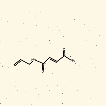 C=CCNC(=O)/C=C/C(N)=O